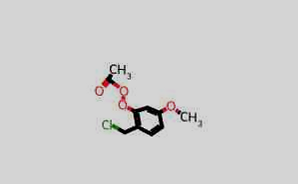 COc1ccc(CCl)c(OOC(C)=O)c1